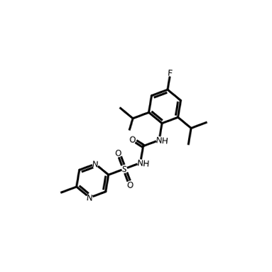 Cc1cnc(S(=O)(=O)NC(=O)Nc2c(C(C)C)cc(F)cc2C(C)C)cn1